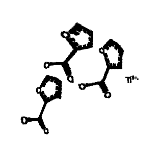 O=C([O-])c1ccco1.O=C([O-])c1ccco1.O=C([O-])c1ccco1.[Ti+3]